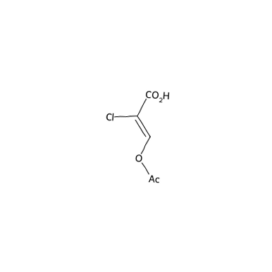 CC(=O)OC=C(Cl)C(=O)O